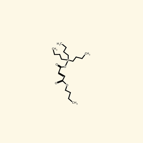 CCCCOC(=O)C=CC(=O)O[Si](CCCC)(CCCC)CCCC